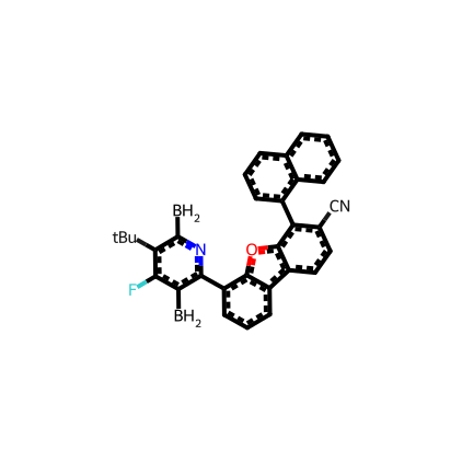 Bc1nc(-c2cccc3c2oc2c(-c4cccc5ccccc45)c(C#N)ccc23)c(B)c(F)c1C(C)(C)C